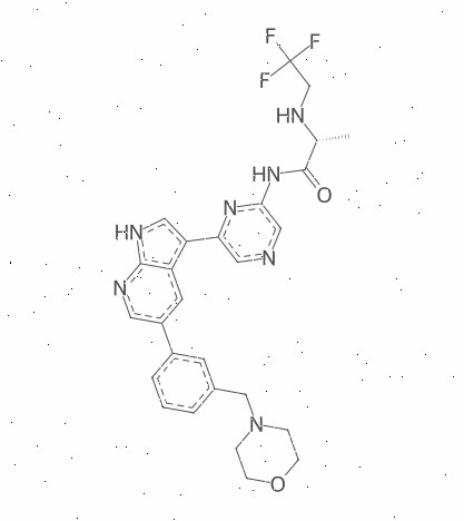 C[C@@H](NCC(F)(F)F)C(=O)Nc1cncc(-c2c[nH]c3ncc(-c4cccc(CN5CCOCC5)c4)cc23)n1